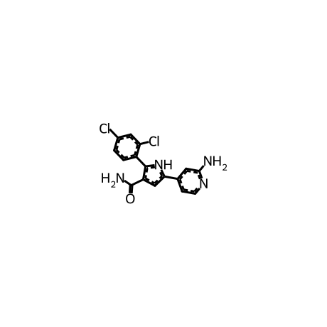 NC(=O)c1cc(-c2ccnc(N)c2)[nH]c1-c1ccc(Cl)cc1Cl